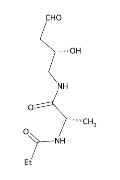 CCC(=O)N[C@@H](C)C(=O)NC[C@@H](O)CC=O